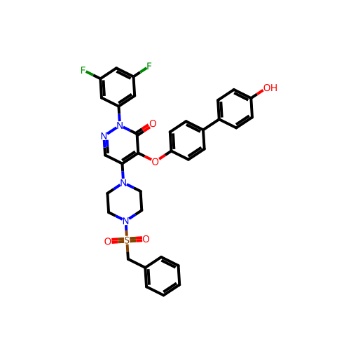 O=c1c(Oc2ccc(-c3ccc(O)cc3)cc2)c(N2CCN(S(=O)(=O)Cc3ccccc3)CC2)cnn1-c1cc(F)cc(F)c1